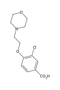 O=C(O)c1ccc(OCCN2CCOCC2)c(Cl)c1